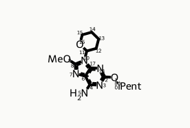 CCC[C@@H](C)Oc1nc(N)c2nc(OC)n(C3CCCCO3)c2n1